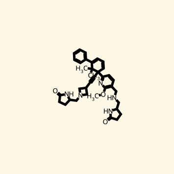 COc1nc(C2(C#CC3CN(CC4CCC(=O)N4)C3)C=CC=C(c3ccccc3)C2(C)C)ccc1CNCC1CCC(=O)N1